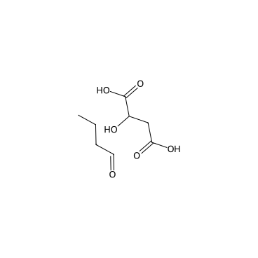 CCCC=O.O=C(O)CC(O)C(=O)O